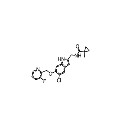 CC1(C(=O)NCc2cc3cc(Cl)c(OCc4ncccc4F)cc3[nH]2)CC1